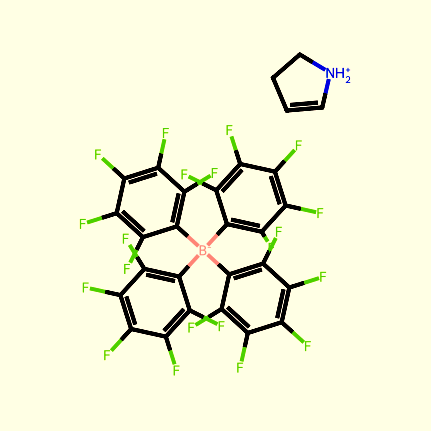 C1=C[NH2+]CC1.Fc1c(F)c(F)c([B-](c2c(F)c(F)c(F)c(F)c2F)(c2c(F)c(F)c(F)c(F)c2F)c2c(F)c(F)c(F)c(F)c2F)c(F)c1F